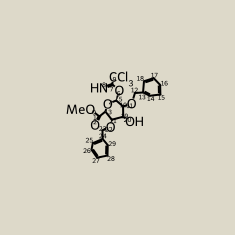 COC(=O)C1O[C@@H](OC(=N)C(Cl)(Cl)Cl)C(OCc2ccccc2)C(O)[C@@H]1OCc1ccccc1